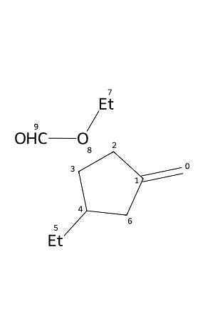 C=C1CCC(CC)C1.CCOC=O